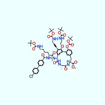 COC(=O)[C@@H]1Cc2ccc(OC(=O)OC(C)(C)C)c(c2)-c2cc(cc(C#CCNC(=O)OC(C)(C)C)c2OCCNC(=O)OC(C)(C)C)[C@H](N(C)C(=O)[C@H](CCCCNC(=O)OC(C)(C)C)NC(=O)c2ccc(-c3ccc(Cl)cc3)cc2)C(=O)N[C@@H](C)C(=O)N1